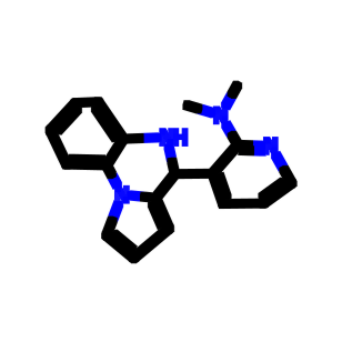 CN(C)c1ncccc1C1Nc2ccccc2-n2cccc21